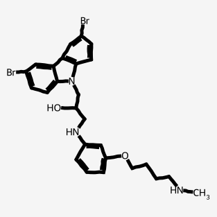 CNCCCCOc1cccc(NCC(O)Cn2c3ccc(Br)cc3c3cc(Br)ccc32)c1